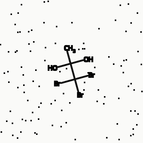 CC(O)(O)C(Br)(Br)Br